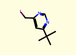 CC(C)(C)c1cc(CI)ncn1